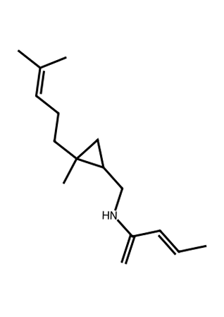 C=C(/C=C/C)NCC1CC1(C)CCC=C(C)C